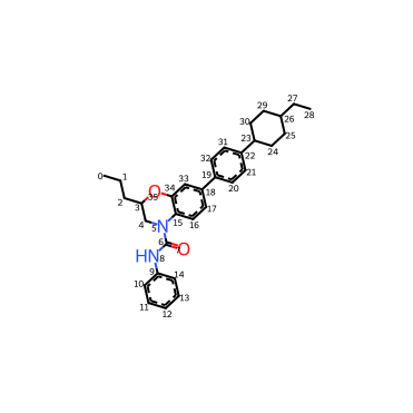 CCCC1CN(C(=O)Nc2ccccc2)c2ccc(-c3ccc(C4CCC(CC)CC4)cc3)cc2O1